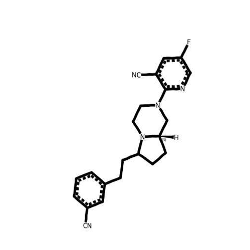 N#Cc1cccc(CCC2CC[C@H]3CN(c4ncc(F)cc4C#N)CCN23)c1